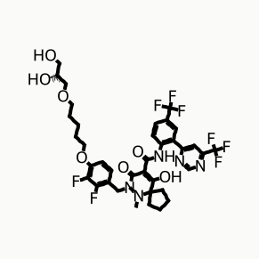 CN1N(Cc2ccc(OCCCCCOC[C@H](O)CO)c(F)c2F)C(=O)C(C(=O)Nc2ccc(C(F)(F)F)cc2-c2cc(C(F)(F)F)ncn2)=C(O)C12CCCC2